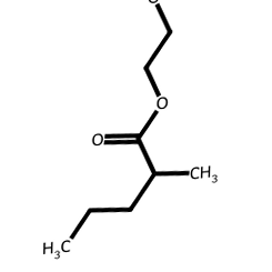 CCCC(C)C(=O)OCC[O]